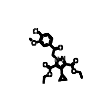 CCOC(=O)c1nn(CC(=O)c2ccc(Cl)c(OC)c2)c(C(=O)OCC)c1C1CC1